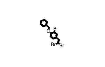 BrC(Br)=Cc1ccc(OCc2ccccc2)c(Br)c1